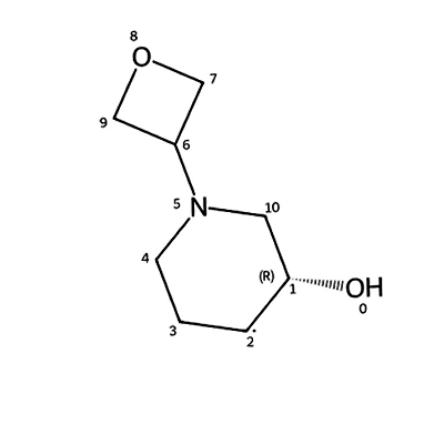 O[C@@H]1[CH]CCN(C2COC2)C1